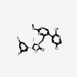 COc1ncc(Cl)cc1-c1cnc(SC)nc1CN1C(=O)O[C@H](c2cc(F)cc(F)c2)[C@@H]1C